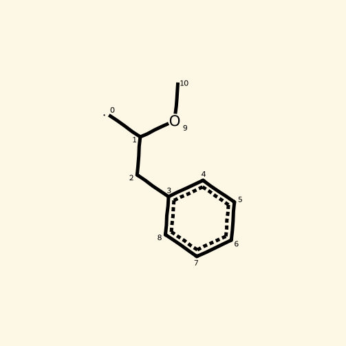 [CH2]C(Cc1ccccc1)OC